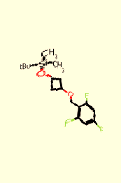 CC(C)(C)[Si](C)(C)O[C@H]1C[C@@H](OCc2c(F)cc(F)cc2F)C1